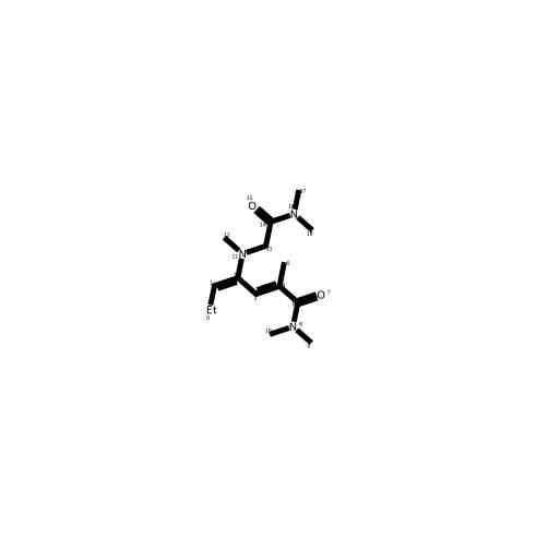 CC/C=C(\C=C(/C)C(=O)N(C)C)N(C)CC(=O)N(C)C